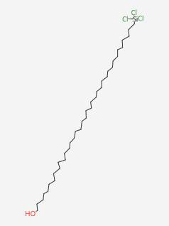 OCCCCCCCCCCCCCCCCCCCCCCCCCCCCCCCCCCCCC[Si](Cl)(Cl)Cl